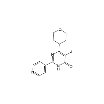 O=c1[nH]c(-c2ccncc2)nc(C2CCOCC2)c1I